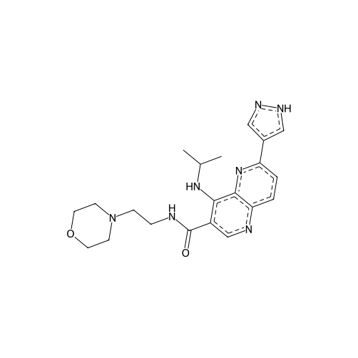 CC(C)Nc1c(C(=O)NCCN2CCOCC2)cnc2ccc(-c3cn[nH]c3)nc12